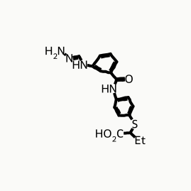 CCC(Sc1ccc(NC(=O)c2cccc(NC=NN)c2)cc1)C(=O)O